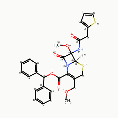 COCC1=C(C(=O)OC(c2ccccc2)c2ccccc2)N2C(=O)C(NC(=O)Cc3cccs3)(OC)[C@H]2SC1